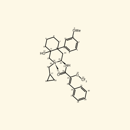 COc1cccc(C23CCCCC2(O)C[N@@+](C)(CC2CC2)[C@H](NC(=O)C(=Cc2ccccc2)OC(F)(F)F)C3)c1